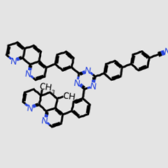 CC1CC2(C)CC=CN=C2c2nccc(-c3cccc(-c4nc(-c5ccc(-c6ccc(C#N)cc6)cc5)nc(-c5cccc(-c6ccnc7c6ccc6cccnc67)c5)n4)c3)c21